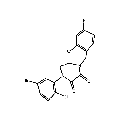 O=C1C(=O)N(c2cc(Br)ccc2Cl)CCN1Cc1ccc(F)cc1Cl